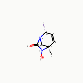 O=C1N(O)[C@@H]2C=C[C@@H](I)N1C2